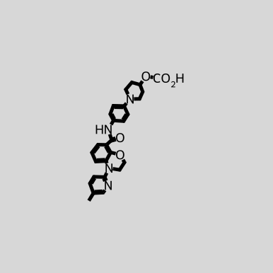 Cc1ccc(N2CCOc3c(C(=O)Nc4ccc(N5CCC(OC(=O)O)CC5)cc4)cccc32)nc1